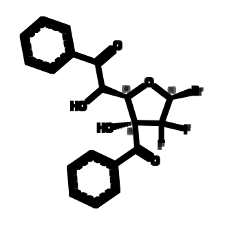 O=C(c1ccccc1)C(O)[C@H]1O[C@@H](Br)C(F)(F)[C@@]1(O)C(=O)c1ccccc1